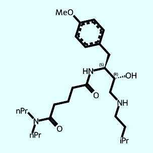 CCCN(CCC)C(=O)CCCC(=O)N[C@@H](Cc1ccc(OC)cc1)[C@H](O)CNCCC(C)C